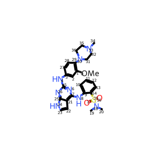 COc1cc(Nc2nc(Nc3ccccc3S(=O)(=O)N(C)C)c3cc[nH]c3n2)ccc1N1CCN(C)CC1